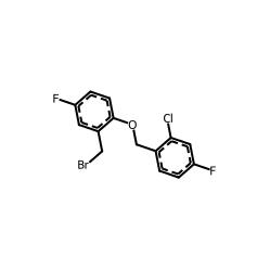 Fc1ccc(COc2ccc(F)cc2CBr)c(Cl)c1